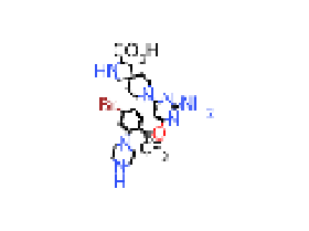 Nc1nc(O[C@H](c2ccc(Br)cc2N2CCNCC2)C(F)(F)F)cc(N2CCC3(CC2)CNC(C(=O)O)C3)n1